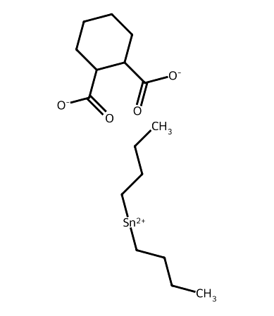 CCC[CH2][Sn+2][CH2]CCC.O=C([O-])C1CCCCC1C(=O)[O-]